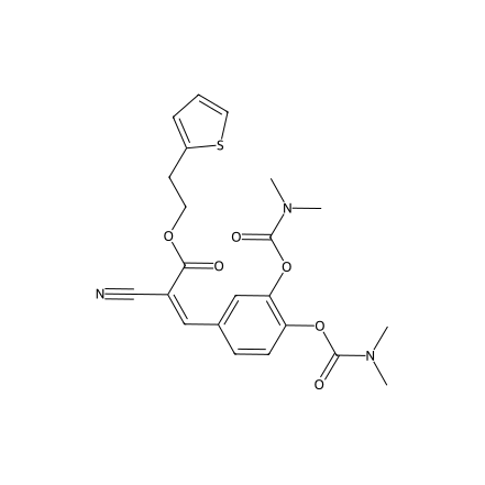 CN(C)C(=O)Oc1ccc(C=C(C#N)C(=O)OCCc2cccs2)cc1OC(=O)N(C)C